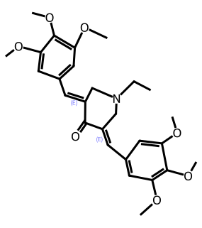 CCN1C/C(=C\c2cc(OC)c(OC)c(OC)c2)C(=O)/C(=C/c2cc(OC)c(OC)c(OC)c2)C1